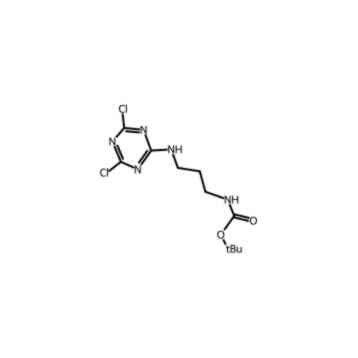 CC(C)(C)OC(=O)NCCCNc1nc(Cl)nc(Cl)n1